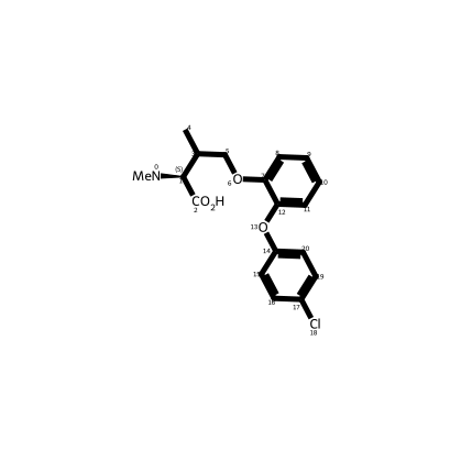 CN[C@H](C(=O)O)C(C)COc1ccccc1Oc1ccc(Cl)cc1